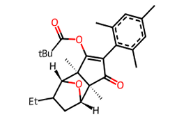 CCC1C[C@@H]2O[C@H]1[C@@]1(C)C(OC(=O)C(C)(C)C)=C(c3c(C)cc(C)cc3C)C(=O)[C@@]21C